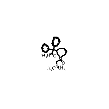 CN(C)CC(=O)N1CCCCC(C(C(N)=O)(c2ccccc2)c2ccccc2)C1